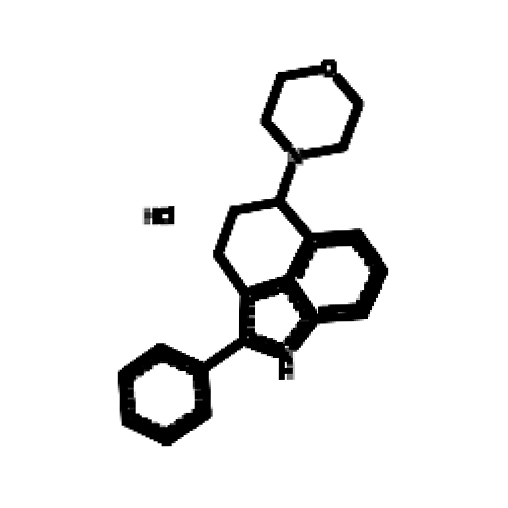 Cl.c1ccc(-c2[nH]c3cccc4c3c2CCC4N2CCOCC2)cc1